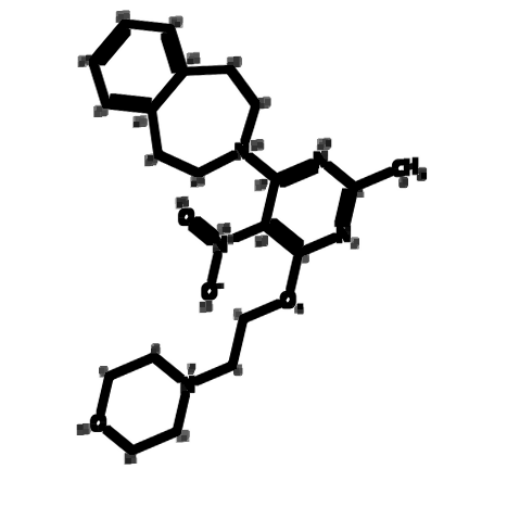 Cc1nc(OCCN2CCOCC2)c([N+](=O)[O-])c(N2CCc3ccccc3CC2)n1